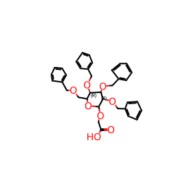 O=C(O)COC1OC(COCc2ccccc2)[C@@H](OCc2ccccc2)C(OCc2ccccc2)[C@H]1OCc1ccccc1